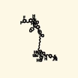 Cc1ncsc1-c1ccc(CNC(=O)[C@@H]2C[C@@H](O)CN2C(=O)[C@@H](NC(=O)CCCCCCCCCC(=O)N2CCN(c3ccc(C(=O)Nc4n[nH]c5ccc(Cc6cc(F)cc(F)c6)cc45)c(NC4CCOCC4)c3)CC2)C(C)(C)C)cc1